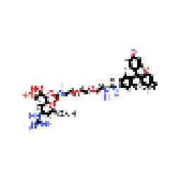 Cc1ccc2c(-c3ccc(NC(=S)NCCOCCOCCNC(=O)O[C@@H]([C@@H]4OC(C(=O)O)=C[C@H](NC(=N)N)[C@H]4C)[C@H](O)CO)cc3C(=O)O)c3ccc(=O)cc-3oc2c1